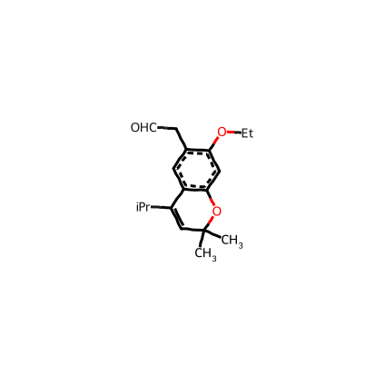 CCOc1cc2c(cc1CC=O)C(C(C)C)=CC(C)(C)O2